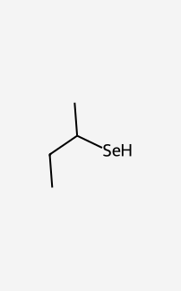 CCC(C)[SeH]